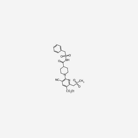 CCOC(=O)c1cc(C#N)c(N2CCC(C(=O)NS(=O)(=O)Cc3ccccc3)CC2)nc1CS(C)(=O)=O